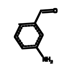 Nc1cc[c]c(C=O)c1